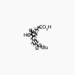 CC(C)(C)OC(=O)N1CCN(Cc2cnn(CCCC(=O)O)c(=O)c2O)CC1